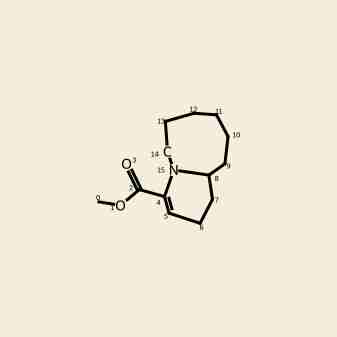 COC(=O)C1=CCCC2CCCCCCN12